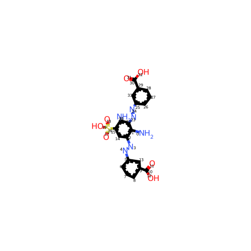 Nc1c(/N=N/c2cccc(C(=O)O)c2)cc(S(=O)(=O)O)c(N)c1/N=N/c1cccc(C(=O)O)c1